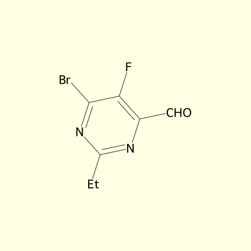 CCc1nc(Br)c(F)c(C=O)n1